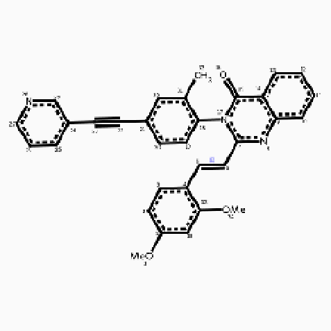 COc1ccc(/C=C/c2nc3ccccc3c(=O)n2-c2ccc(C#Cc3cccnc3)cc2C)c(OC)c1